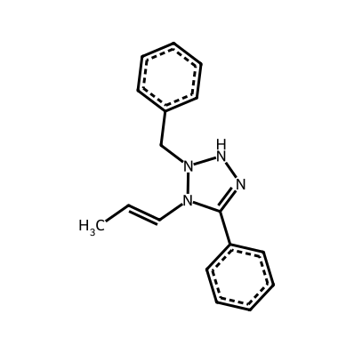 CC=CN1C(c2ccccc2)=NNN1Cc1ccccc1